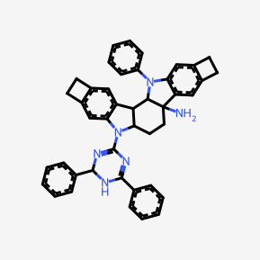 NC12CCC3C(c4cc5c(cc4N3C3=NC(c4ccccc4)NC(c4ccccc4)=N3)CC5)C1N(c1ccccc1)c1cc3c(cc12)CC3